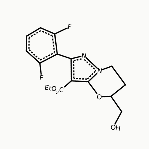 CCOC(=O)c1c(-c2c(F)cccc2F)nn2c1OC(CO)CC2